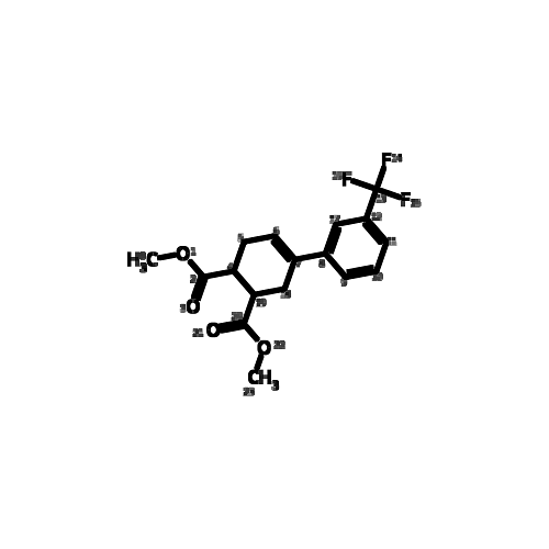 COC(=O)C1CC=C(c2cccc(C(F)(F)F)c2)CC1C(=O)OC